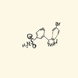 NS(=O)(=O)c1cccc(-c2n[nH]c3ccc(Br)cc23)c1